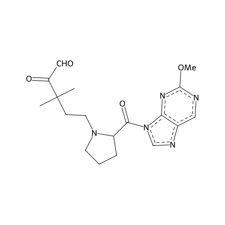 COc1ncc2ncn(C(=O)C3CCCN3CCC(C)(C)C(=O)C=O)c2n1